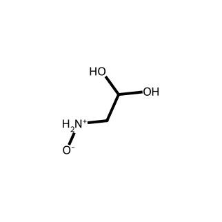 [O-][NH2+]CC(O)O